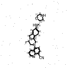 C[C@@H]1CN(c2ccc(C#N)c3ncccc23)CC2=C3CC=C(NC[C@H]4CNCCO4)C=C3CN21